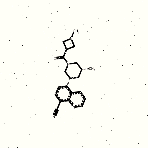 C[C@@H]1C[C@H](c2ccc(C#N)c3ncccc23)CN(C(=O)C2CN(C)C2)C1